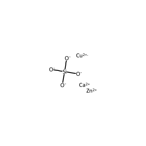 [Ca+2].[Cu+2].[O-][Si]([O-])([O-])[O-].[Zn+2]